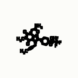 CC#CCn1c(N2CCNCC2)nc2c1c(=O)n(C)c(=O)n2CC(N)=O.O=C(O)C(F)(F)F